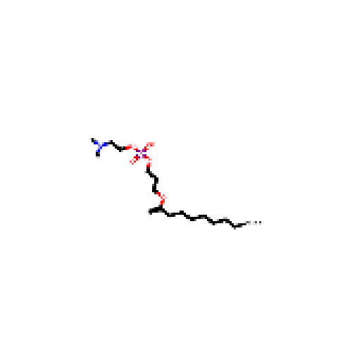 C=C(CCCCCCCCCCCCCCCCC)OCCCOP(=O)(O)OCCN(C)C